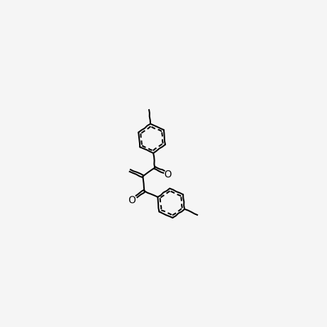 C=C(C(=O)c1ccc(C)cc1)C(=O)c1ccc(C)cc1